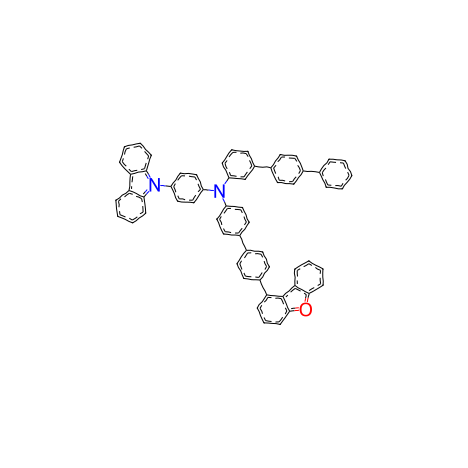 c1ccc(-c2ccc(-c3cccc(N(c4ccc(-c5ccc(-c6cccc7oc8ccccc8c67)cc5)cc4)c4ccc(-n5c6ccccc6c6ccccc65)cc4)c3)cc2)cc1